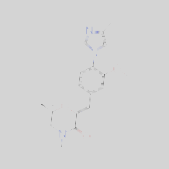 COc1cc(/C=C2\O[C@H](C)CN(C)C2=O)ccc1-n1cnc(C)c1